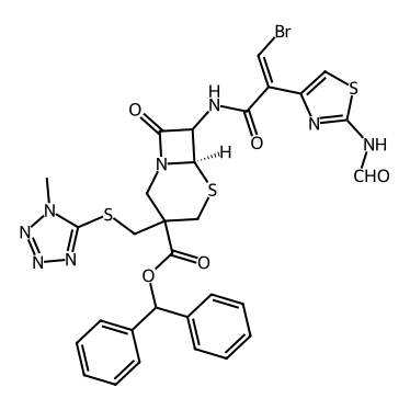 Cn1nnnc1SCC1(C(=O)OC(c2ccccc2)c2ccccc2)CS[C@@H]2C(NC(=O)C(=CBr)c3csc(NC=O)n3)C(=O)N2C1